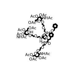 CC(=O)N/C(=C(\OC(C)=O)C(CCOC(C)=O)OC(C)=O)C(O)OCCOCCNC(=O)CN(CC(=O)NCCOCCOC(O)/C(NC(C)=O)=C(/OC(C)=O)C(CCOC(C)=O)OC(C)=O)C(Cc1ccc(OCc2ccccc2)cc1)C(=O)NCCOCCOC1OC(COC(C)=O)C(OC(C)=O)C(OC(C)=O)C1NC(C)=O